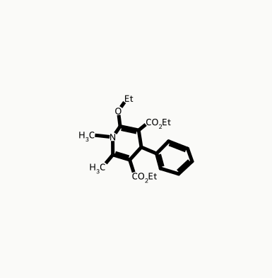 CCOC(=O)C1=C(C)N(C)C(OCC)=C(C(=O)OCC)C1c1ccccc1